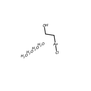 O.O.O.O.OC[CH2][Au][Cl]